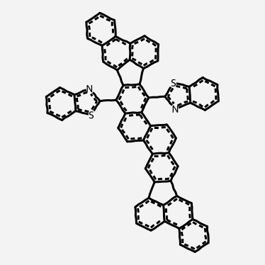 c1ccc2c(c1)cc1c3c(cccc32)-c2cc3c(ccc4c3ccc3c(-c5nc6ccccc6s5)c5c(c(-c6nc7ccccc7s6)c34)-c3cccc4c3c-5cc3ccccc34)cc2-1